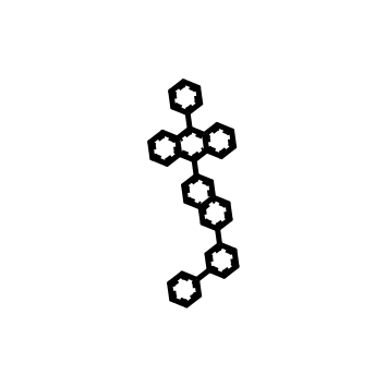 c1ccc(-c2cccc(-c3ccc4cc(-c5c6ccccc6c(-c6ccccc6)c6ccccc56)ccc4c3)c2)cc1